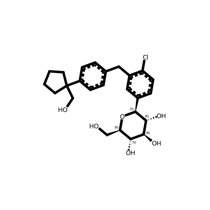 OC[C@H]1O[C@@H](c2ccc(Cl)c(Cc3ccc(C4(CO)CCCC4)cc3)c2)[C@H](O)[C@@H](O)[C@@H]1O